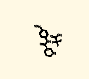 CCCCCCCCCCc1ccc(NC(=O)[C@@H]2CCCNC2)cc1.O=C(O)C(F)(F)F